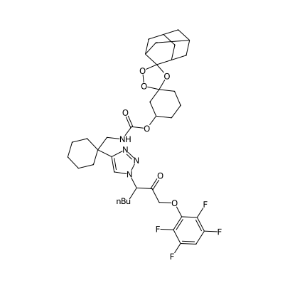 CCCCC(C(=O)COc1c(F)c(F)cc(F)c1F)n1cc(C2(CNC(=O)OC3CCCC4(C3)OOC3(O4)C4CC5CC(C4)CC3C5)CCCCC2)nn1